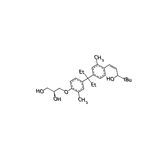 CCC(CC)(c1ccc(/C=C\C(O)C(C)(C)C)c(C)c1)c1ccc(OC[C@@H](O)CO)c(C)c1